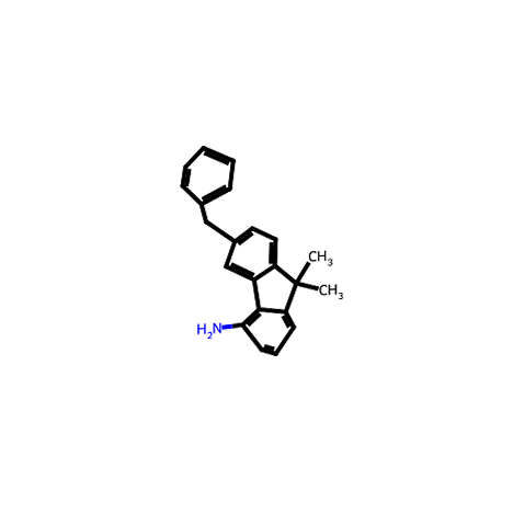 CC1(C)c2ccc(Cc3ccccc3)cc2-c2c(N)cccc21